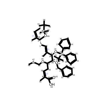 C/C=C(/C)[C@@H](C/C=C(\C)[C@@H](O[Si](c1ccccc1)(c1ccccc1)C(C)(C)C)[C@H](OCc1ccccc1)C(C/C=C(/C)C(=O)O)OCSC)O[Si](C)(C)C(C)(C)C